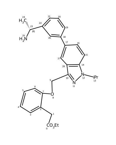 CCOC(=O)Cc1ccccc1OCc1nn(C(C)C)c2ccc(-c3cccc([C@@H](C)N)c3)cc12